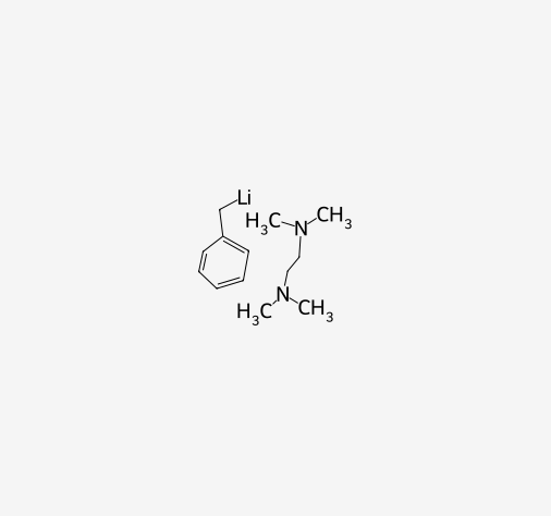 CN(C)CCN(C)C.[Li][CH2]c1ccccc1